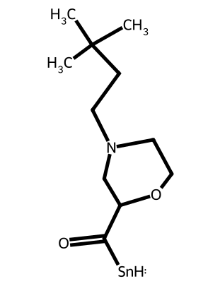 CC(C)(C)CCN1CCOC([C](=O)[SnH])C1